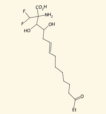 CCC(=O)CCCCCC/C=C/CC(O)C(O)C(N)(C(=O)O)C(F)F